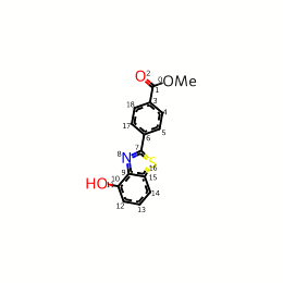 COC(=O)c1ccc(-c2nc3c(O)cccc3s2)cc1